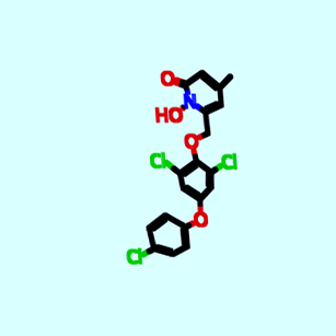 Cc1cc(COc2c(Cl)cc(Oc3ccc(Cl)cc3)cc2Cl)n(O)c(=O)c1